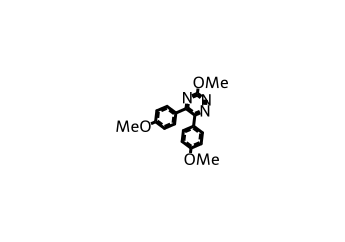 COc1ccc(-c2nnc(OC)nc2-c2ccc(OC)cc2)cc1